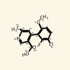 COc1ccc(Cl)c(F)c1-c1cc(C)ncc1C(=O)O